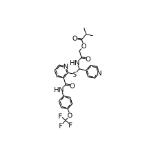 CC(C)C(=O)OCC(=O)NC(Sc1ncccc1C(=O)Nc1ccc(OC(F)(F)F)cc1)c1ccncc1